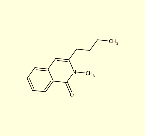 CCCCc1cc2ccccc2c(=O)n1C